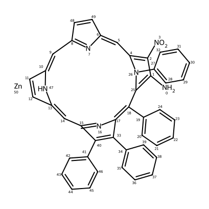 Nc1c([N+](=O)[O-])c2cc3nc(cc4ccc(cc5nc(c(-c6ccccc6)c1n2-c1ccccc1)C(c1ccccc1)=C5c1ccccc1)[nH]4)C=C3.[Zn]